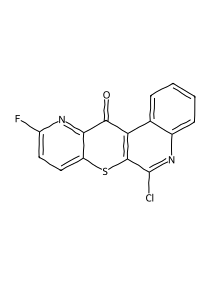 O=c1c2nc(F)ccc2sc2c(Cl)nc3ccccc3c12